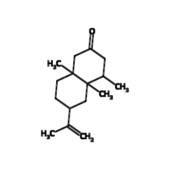 C=C(C)C1CCC2(C)CC(=O)CC(C)C2(C)C1